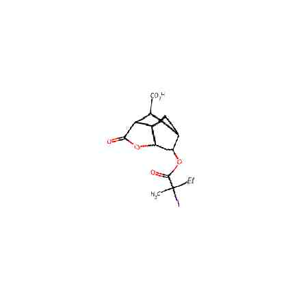 CCC(C)(I)C(=O)OC1C2CC3C1OC(=O)C3C2C(=O)O